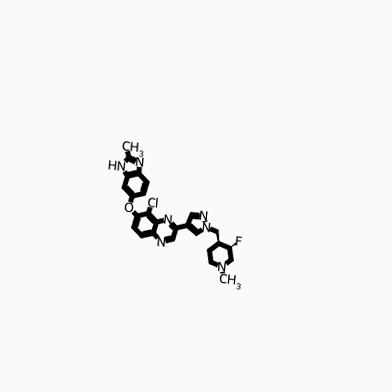 Cc1nc2ccc(Oc3ccc4ncc(-c5cnn(C[C@@H]6CCN(C)C[C@H]6F)c5)nc4c3Cl)cc2[nH]1